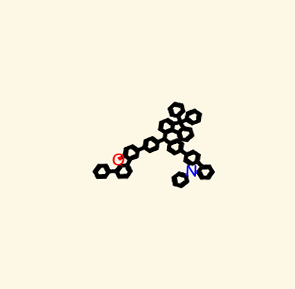 c1ccc(-c2cccc3c2oc2ccc(-c4ccc(C(c5ccc(-c6ccc7c8ccccc8n(-c8ccccc8)c7c6)cc5)c5cccc6c5-c5ccccc5C6(c5ccccc5)c5ccccc5)cc4)cc23)cc1